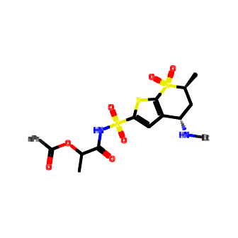 CCCC(=O)OC(C)C(=O)NS(=O)(=O)c1cc2c(s1)S(=O)(=O)[C@@H](C)C[C@@H]2NCC